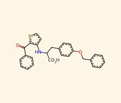 O=C(c1ccccc1)c1sccc1NC(Cc1ccc(OCc2ccccc2)cc1)C(=O)O